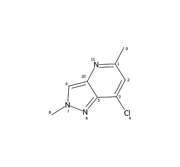 Cc1cc(Cl)c2nn(C)cc2n1